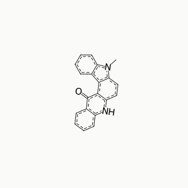 Cn1c2ccccc2c2c3c(=O)c4ccccc4[nH]c3ccc21